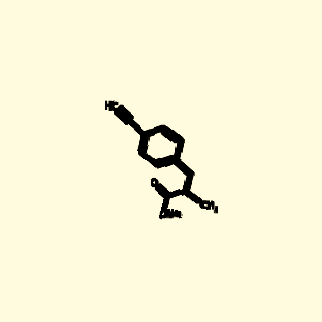 C#Cc1ccc(CC(C)C(=O)OC)cc1